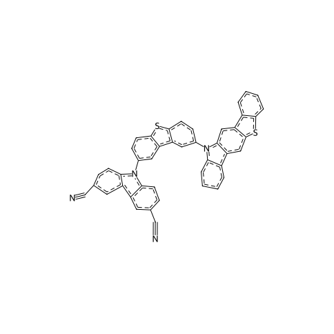 N#Cc1ccc2c(c1)c1cc(C#N)ccc1n2-c1ccc2sc3ccc(-n4c5ccccc5c5cc6sc7ccccc7c6cc54)cc3c2c1